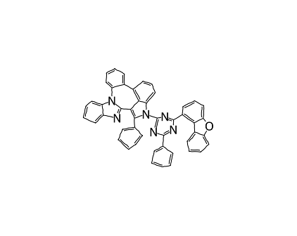 c1ccc(-c2nc(-c3cccc4oc5ccccc5c34)nc(-n3c(-c4ccccc4)c4c5c(cccc53)c3ccccc3n3c5ccccc5nc43)n2)cc1